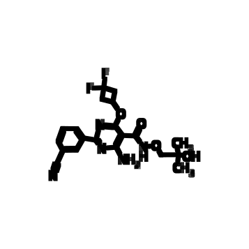 CC(C)(O)CONC(=O)c1c(N)nc(-c2cccc(C#N)c2)nc1OC1CC(F)(F)C1